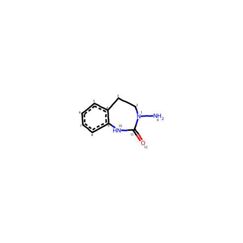 NN1CCc2ccccc2NC1=O